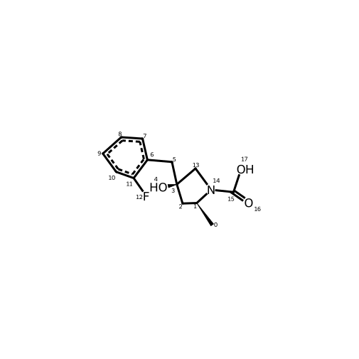 C[C@H]1C[C@](O)(Cc2ccccc2F)CN1C(=O)O